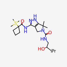 CC(C)C(O)CNC(=O)N1Cc2c(NC(=O)C3(S(C)(C)C)CCC3)n[nH]c2C1(C)C